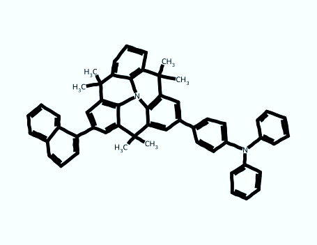 CC1(C)c2cccc3c2N2c4c1cc(-c1ccc(N(c5ccccc5)c5ccccc5)cc1)cc4C(C)(C)c1cc(-c4cccc5ccccc45)cc(c12)C3(C)C